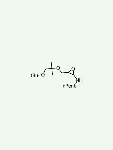 CCCCCNC1OC1COC(C)(C)COC(C)(C)C